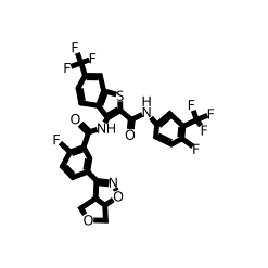 O=C(Nc1c(C(=O)Nc2ccc(F)c(C(F)(F)F)c2)sc2cc(C(F)(F)F)ccc12)c1cc(C2=NOC3COCC23)ccc1F